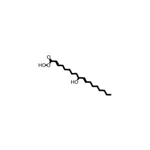 CCCCCCCC=CC(O)CCCCCC=CC(=O)OO